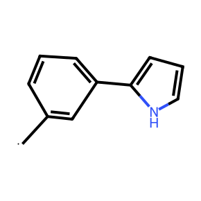 [CH2]c1cccc(-c2ccc[nH]2)c1